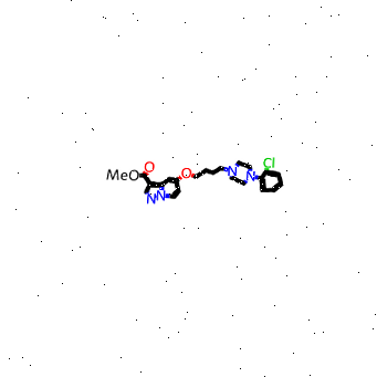 COC(=O)c1cnn2ccc(OCCCCN3CCN(c4ccccc4Cl)CC3)cc12